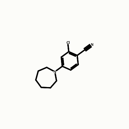 N#Cc1ccc(N2CCCCCC2)cc1Cl